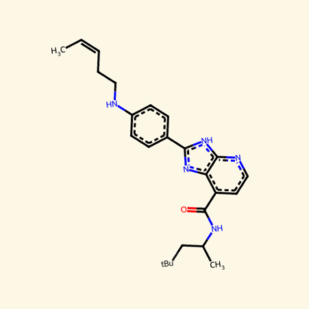 C/C=C\CCNc1ccc(-c2nc3c(C(=O)NC(C)CC(C)(C)C)ccnc3[nH]2)cc1